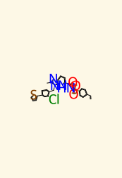 C=Cc1ccc(S(=O)(=O)NC(=O)c2ccc3nc(C)n(Cc4ccc(-c5cccs5)cc4Cl)c3n2)cc1